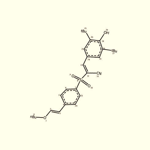 CCCCO/C=C/c1ccc(S(=O)(=O)/C(C#N)=C/c2cc(C(C)(C)C)c(O)c(C(C)(C)C)c2)cc1